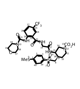 CSc1ccc(S(=O)(=O)C[C@@H]2CCN(C(=O)O)CC2NC(=O)CNC(=O)c2cc(C(F)(F)F)ccc2NC(=O)N2CCOCC2)cc1